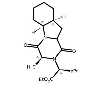 CCC[C@@H](C(=O)OCC)N1C(=O)C2C[C@@H]3CCCC[C@@H]3N2C(=O)[C@@H]1C